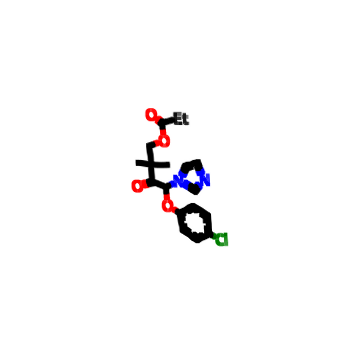 CCC(=O)OCC(C)(C)C(=O)C(Oc1ccc(Cl)cc1)n1ccnc1